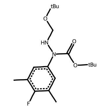 Cc1cc(N(NCOC(C)(C)C)C(=O)OC(C)(C)C)cc(C)c1F